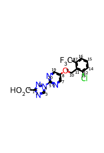 O=C(O)c1ncn(-c2ncc(OCc3c(Cl)cccc3C(F)(F)F)cn2)n1